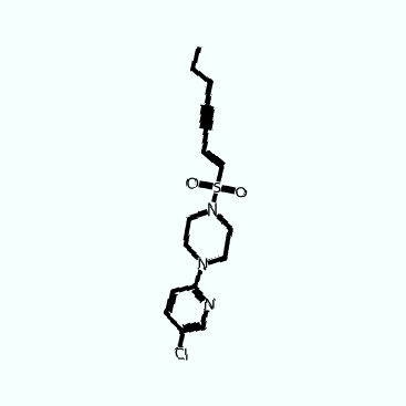 CCCC#C/C=C/S(=O)(=O)N1CCN(c2ccc(Cl)cn2)CC1